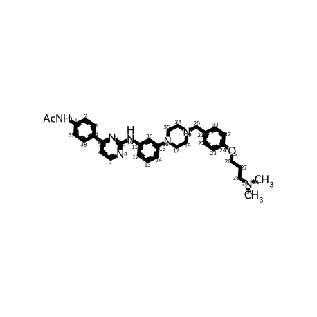 CC(=O)Nc1ccc(-c2ccnc(Nc3cccc(N4CCN(Cc5ccc(OCCCN(C)C)cc5)CC4)c3)n2)cc1